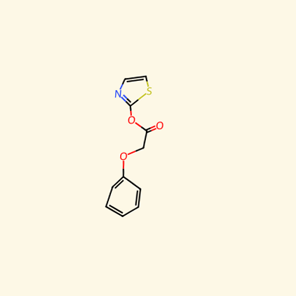 O=C(COc1ccccc1)Oc1nccs1